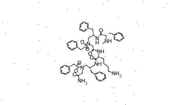 CN[C@@H](Cc1ccccc1)C(=O)NC(Cc1ccccc1)CN(CC(=O)N[C@@H](CCCCN)C(=O)N[C@@H](Cc1ccccc1)CN(CC(N)=O)S(=O)(=O)Cc1ccccc1)S(=O)(=O)Cc1ccccc1